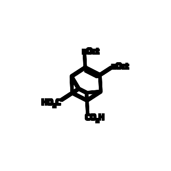 CCCCCCCCC1=C(CCCCCCCC)C2CCC1C(C(=O)O)C2C(=O)O